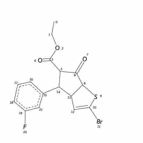 CCOC(=O)C1C(=O)C2SC(Br)=CC2C1c1cccc(F)c1